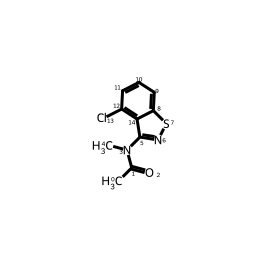 CC(=O)N(C)c1nsc2cccc(Cl)c12